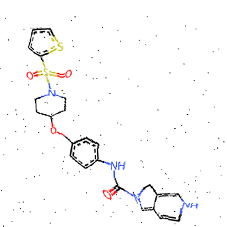 O=C(Nc1ccc(OC2CCN(S(=O)(=O)c3cccs3)CC2)cc1)N1C=C2C=CNC=C2C1